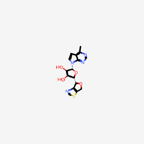 Cc1ncnc2c1ccn2[C@@H]1O[C@H](C2OCc3scnc32)[C@@H](O)[C@H]1O